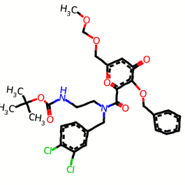 COCOCc1cc(=O)c(OCc2ccccc2)c(C(=O)N(CCNC(=O)OC(C)(C)C)Cc2ccc(Cl)c(Cl)c2)o1